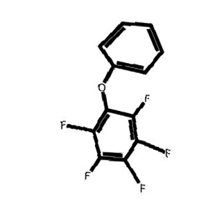 Fc1c(F)c(F)c(Oc2ccccc2)c(F)c1F